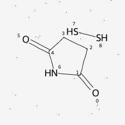 O=C1CCC(=O)N1.SS